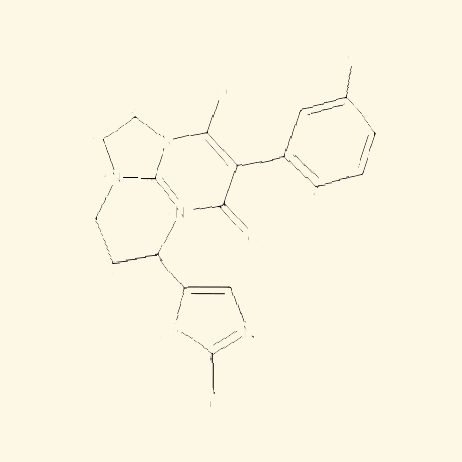 O=c1c(-c2cccc(C(F)(F)F)c2)c([O-])n2c3[n+]1C(c1cnc(Cl)s1)CCN3CC2